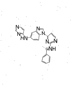 C[C@H](Nc1nccc(-n2cnc3cc(Nc4ccncn4)ccc32)n1)c1ccccc1